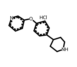 Cl.c1cncc(Oc2ccc(C3CCNCC3)cc2)c1